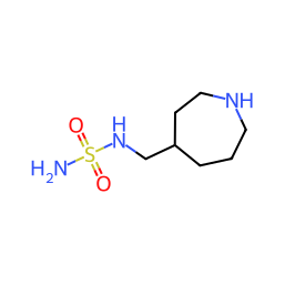 NS(=O)(=O)NCC1CCCNCC1